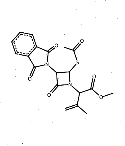 C=C(C)C(C(=O)OC)N1C(=O)C(N2C(=O)c3ccccc3C2=O)C1SC(C)=O